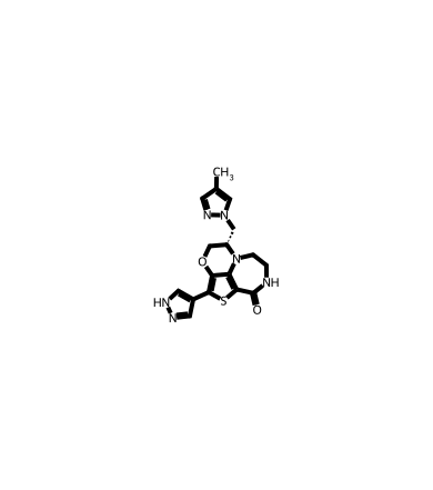 Cc1cnn(C[C@H]2COc3c(-c4cn[nH]c4)sc4c3N2CCNC4=O)c1